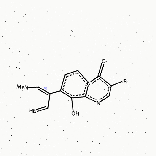 CN/C=C(\C=N)c1ccn2c(=O)c(C(C)C)cnc2c1O